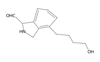 O=CC1NCc2c(CCCCO)cccc21